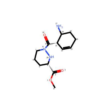 COC(=O)[C@@H]1CCCN(C(=O)[C@H]2C=CCCC2N)N1